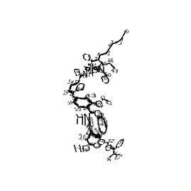 CCCCCC(C(=O)NCNC(=O)c1ccc(-c2ccc(C(=O)NC(CC(=O)O)C(=O)OCOC(=O)C(C)C)c(OCC)c2)o1)[C@@H](CC)N(O)C=O